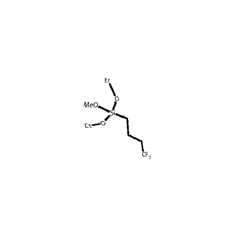 CCO[Si](CCCC(F)(F)F)(OC)OCC